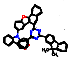 CC1(C)c2ccccc2-c2ccc(-c3nc(-c4ccccc4)nc(-c4cc5ccccc5c5oc6ccc(-n7c8ccccc8c8ccccc87)cc6c45)n3)cc21